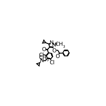 CN(Cc1c(Cl)ccc(C(=O)c2c(C3CC3)nn(C)c2OCC(=O)c2ccccc2)c1Cl)C1CC1